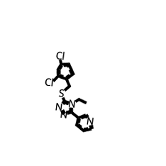 CCn1c(SCc2ccc(Cl)cc2Cl)nnc1-c1cccnc1